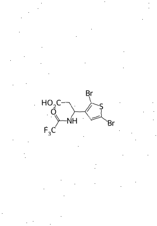 O=C(O)CC(NC(=O)C(F)(F)F)c1cc(Br)sc1Br